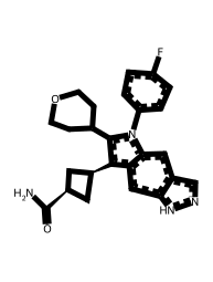 NC(=O)[C@H]1C[C@@H](c2c(C3CCOCC3)n(-c3ccc(F)cc3)c3cc4cn[nH]c4cc32)C1